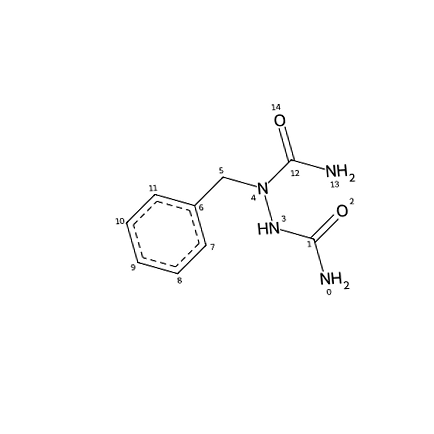 NC(=O)NN(Cc1ccccc1)C(N)=O